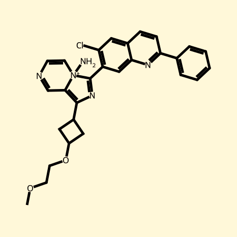 COCCOC1CC(C2=C3C=NC=C[N+]3(N)C(c3cc4nc(-c5ccccc5)ccc4cc3Cl)=N2)C1